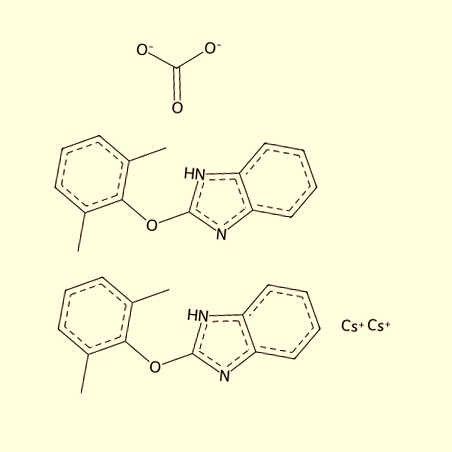 Cc1cccc(C)c1Oc1nc2ccccc2[nH]1.Cc1cccc(C)c1Oc1nc2ccccc2[nH]1.O=C([O-])[O-].[Cs+].[Cs+]